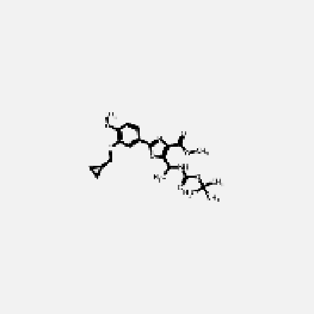 COC(=O)c1nc(-c2ccc(OC)c(OCC3CC3)c2)oc1C(C)NC(=O)OC(C)(C)C